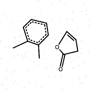 Cc1ccccc1C.O=C1CC=CO1